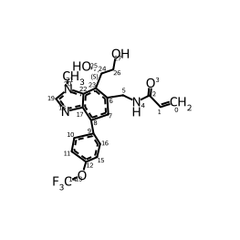 C=CC(=O)NCc1cc(-c2ccc(OC(F)(F)F)cc2)c2ncn(C)c2c1[C@H](O)CO